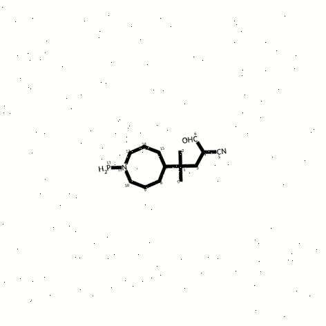 CC(C)(CC(C#N)C=O)C1CCCN(P)CCC1